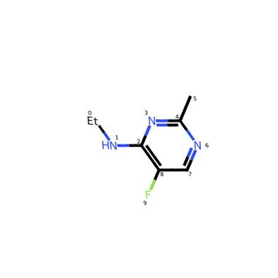 CCNc1nc(C)ncc1F